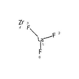 [F][La]([F])[F].[Zr]